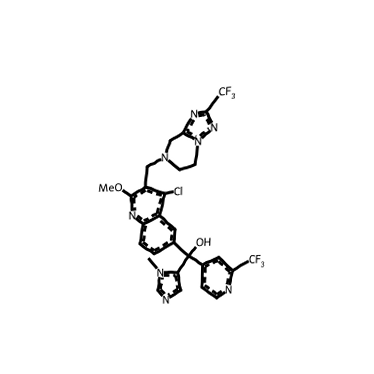 COc1nc2ccc(C(O)(c3ccnc(C(F)(F)F)c3)c3cncn3C)cc2c(Cl)c1CN1CCn2nc(C(F)(F)F)nc2C1